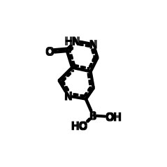 O=c1[nH]ncc2cc(B(O)O)ncc12